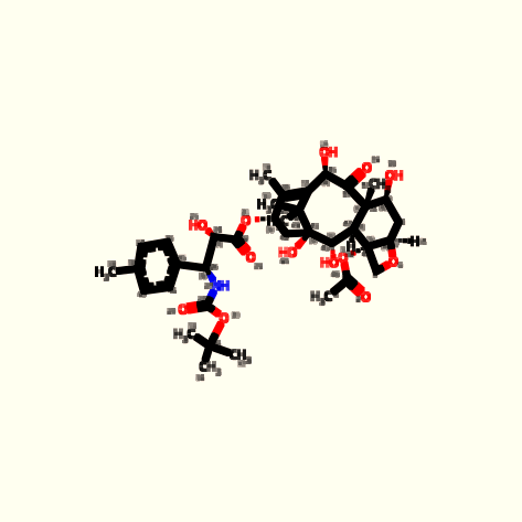 CC(=O)O[C@@]12CO[C@@H]1C[C@H](O)[C@@]1(C)C(=O)[C@H](O)C3=C(C)[C@@H](OC(=O)[C@H](O)[C@@H](NC(=O)OC(C)(C)C)c4ccc(C)cc4)C[C@@](O)([C@@H](O)[C@H]21)C3(C)C